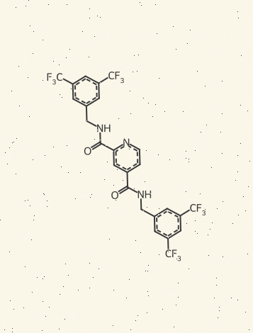 O=C(NCc1cc(C(F)(F)F)cc(C(F)(F)F)c1)c1ccnc(C(=O)NCc2cc(C(F)(F)F)cc(C(F)(F)F)c2)c1